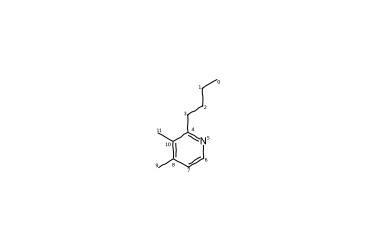 CCCCc1nccc(C)c1C